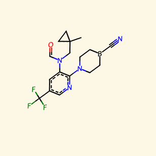 CC1(CN(C=O)c2cc(C(F)(F)F)cnc2N2CCB(C#N)CC2)CC1